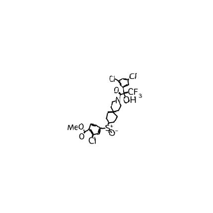 COC(=O)c1ccc([S+]([O-])C2CCC3(CC2)CCN(C(=O)C(O)(c2cc(Cl)cc(Cl)c2)C(F)(F)F)CC3)cc1Cl